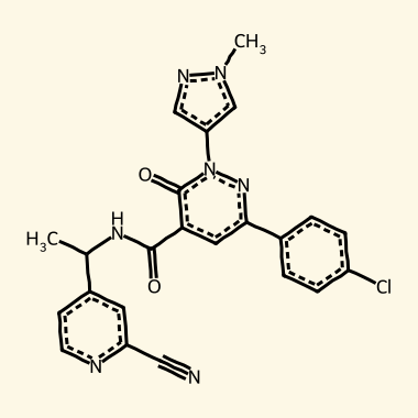 CC(NC(=O)c1cc(-c2ccc(Cl)cc2)nn(-c2cnn(C)c2)c1=O)c1ccnc(C#N)c1